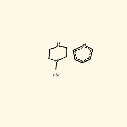 Br.CN1CCNCC1.c1ccncc1